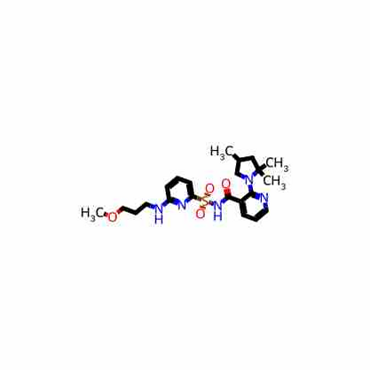 COCCCNc1cccc(S(=O)(=O)NC(=O)c2cccnc2N2CC(C)CC2(C)C)n1